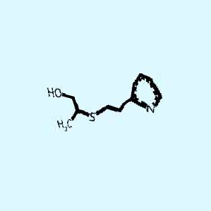 CC(CO)SCCc1ccccn1